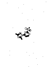 Cc1nc(C)n(-c2ccnc(S(C)(=O)=O)n2)n1